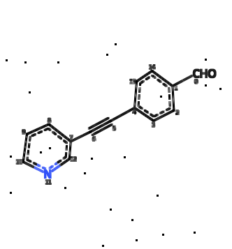 O=Cc1ccc(C#Cc2cccnc2)cc1